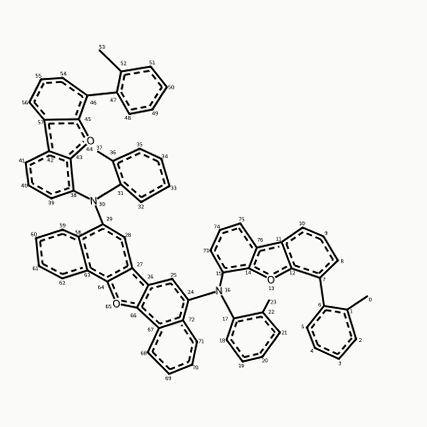 Cc1ccccc1-c1cccc2c1oc1c(N(c3ccccc3C)c3cc4c5cc(N(c6ccccc6C)c6cccc7c6oc6c(-c8ccccc8C)cccc67)c6ccccc6c5oc4c4ccccc34)cccc12